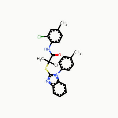 Cc1ccc(-n2c(SC(C)(C)C(=O)Nc3ccc(C)cc3Cl)nc3ccccc32)cc1